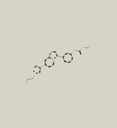 NCCn1cc(-c2ccn3c(-c4cccc(NC(=O)NCC(F)(F)F)c4)cnc3c2)cn1